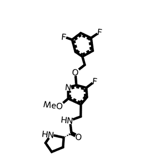 COc1nc(OCc2cc(F)cc(F)c2)c(F)cc1CNC(=O)[C@@H]1CCCN1